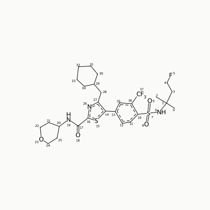 CC(C)(CCF)NS(=O)(=O)c1ccc(-c2sc(C(=O)NC3CCOCC3)nc2CC2CCCCC2)cc1C(F)(F)F